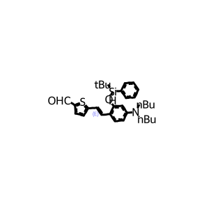 CCCCN(CCCC)c1ccc(/C=C/c2ccc(C=O)s2)c(O[SiH](c2ccccc2)C(C)(C)C)c1